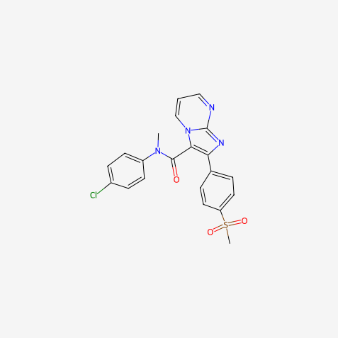 CN(C(=O)c1c(-c2ccc(S(C)(=O)=O)cc2)nc2ncccn12)c1ccc(Cl)cc1